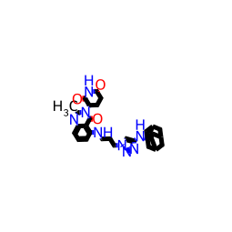 Cc1nc2cccc(NCCCn3cc(NC45CC6CC(CC(C6)C4)C5)nn3)c2c(=O)n1C1CCC(=O)NC1=O